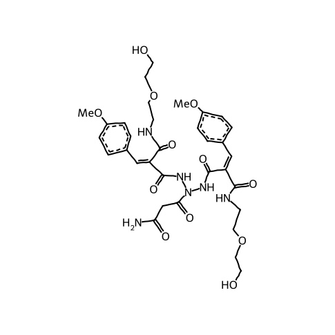 COc1ccc(C=C(C(=O)NCCOCCO)C(=O)NN(NC(=O)C(=Cc2ccc(OC)cc2)C(=O)NCCOCCO)C(=O)CC(N)=O)cc1